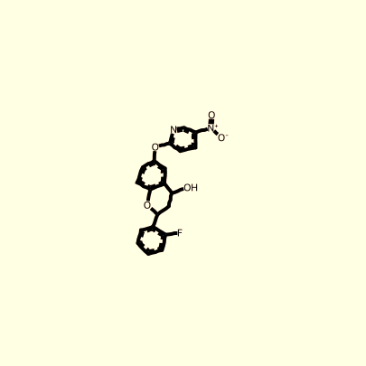 O=[N+]([O-])c1ccc(Oc2ccc3c(c2)C(O)CC(c2ccccc2F)O3)nc1